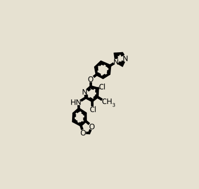 Cc1c(Cl)c(Nc2ccc3c(c2)OCO3)nc(Oc2ccc(-n3ccnc3)cc2)c1Cl